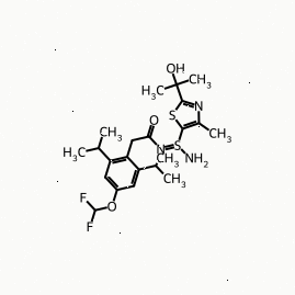 Cc1nc(C(C)(C)O)sc1/S(N)=N\C(=O)Cc1c(C(C)C)cc(OC(F)F)cc1C(C)C